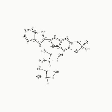 CC(N)(CO)CO.CC(N)(CO)CO.O=P(O)(O)Oc1ccc2nc(-c3nc4ccccc4s3)sc2c1